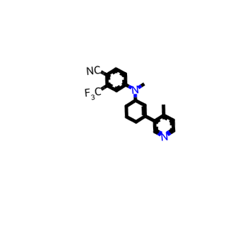 Cc1ccncc1C1=CC(N(C)c2ccc(C#N)c(C(F)(F)F)c2)CCC1